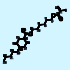 C=C(C)C(=O)OCCCCCCOC(=O)C1CCC(CCCCC)CC1